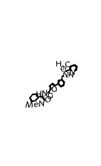 CNC(=O)[C@@H](NC(=O)c1ccc(-c2cccc(CNC(=O)c3ncccc3C)c2)o1)C1CCCCC1